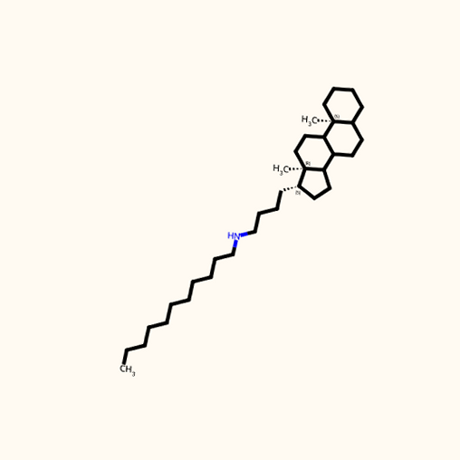 CCCCCCCCCCCNCCCC[C@H]1CCC2C3CCC4CCCC[C@]4(C)C3CC[C@@]21C